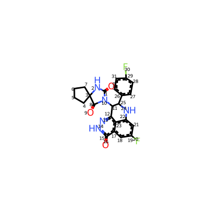 O=C1NC2(CCCC2)C(=O)N1C1c2n[nH]c(=O)c3cc(F)cc(c23)NC1c1ccc(F)cc1